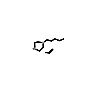 C=CC.CCCCCN1CCNCC1